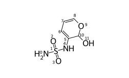 NS(=O)(=O)NC1=CC=COC1O